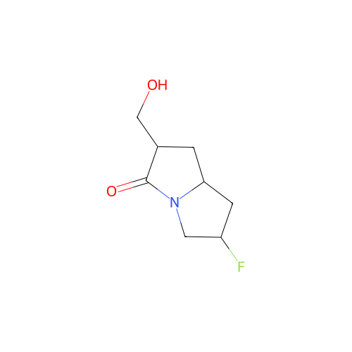 O=C1C(CO)CC2CC(F)CN12